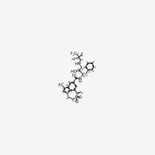 CCc1cn2c3c(cc(C(=O)N[C@@H](Cc4ccccc4)[C@H](O)CNCC(F)(F)C(F)(F)F)cc13)N(C)S(=O)(=O)CC2